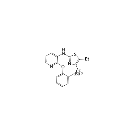 CCc1sc(Nc2cccnc2Oc2ccccc2C(C)(C)C)nc1C(F)(F)F